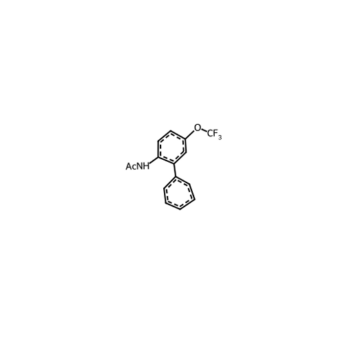 CC(=O)Nc1ccc(OC(F)(F)F)cc1-c1ccccc1